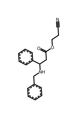 N#CCCOC(=O)CC(NCc1ccccc1)c1ccccc1